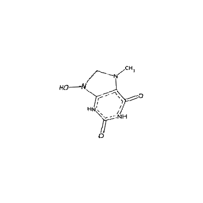 CN1CN(O)c2[nH]c(=O)[nH]c(=O)c21